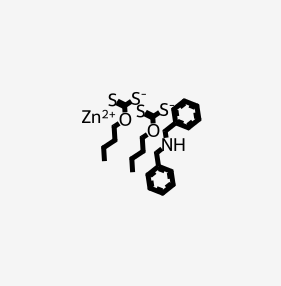 CCCCOC(=S)[S-].CCCCOC(=S)[S-].[Zn+2].c1ccc(CNCc2ccccc2)cc1